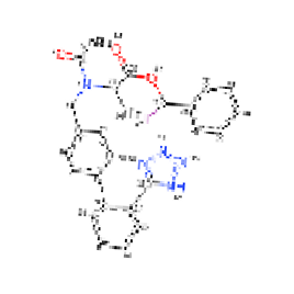 CCCCC(=O)N(Cc1ccc(-c2ccccc2-c2nnn[nH]2)cc1)C(C(=O)OC(I)c1ccccc1)C(C)C